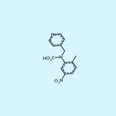 Cc1ccc([N+](=O)[O-])cc1N(Cc1ccncc1)C(=O)O